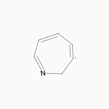 [C]1=CC=CC=NC1